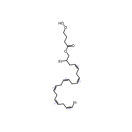 CC/C=C\C/C=C\C/C=C\C/C=C\C/C=C\C/C=C\CC(CC)COC(=O)CCCOO